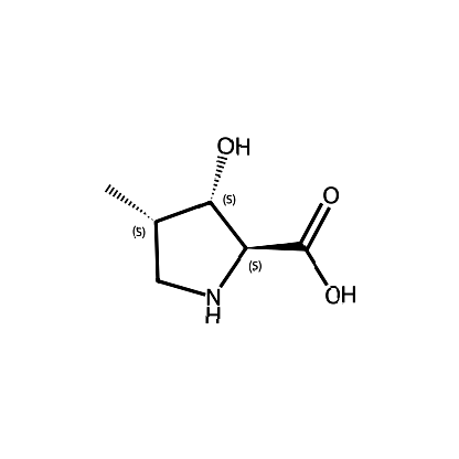 C[C@H]1CN[C@H](C(=O)O)[C@H]1O